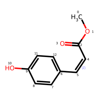 COC(=O)/C=C\c1ccc(O)cc1